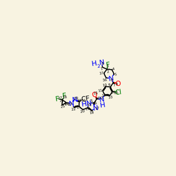 NCC1(F)CCN(C(=O)c2ccc(NC(=O)c3ncc(Cc4cn([C@H]5CC5(F)F)nc4C(F)(F)F)[nH]3)cc2Cl)CC1